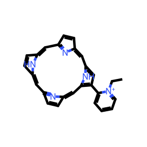 CC[n+]1ccccc1-c1cc2cc3nc(cc4ccc(cc5nc(cc1[nH]2)C=C5)[nH]4)C=C3